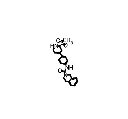 CS(=O)(=O)C1CC(c2ccc(NC(=O)N3CCc4ccccc4C3)cc2)=CCN1